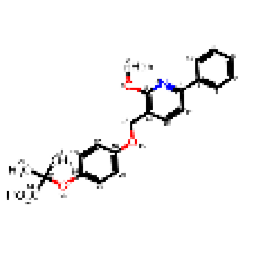 CCCCCCOc1nc(-c2ccccc2)ccc1COc1ccc(OC(C)(C)C(=O)O)cc1